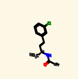 CCCC(=O)N[C@@H](CCc1cccc(Cl)c1)C(=O)O